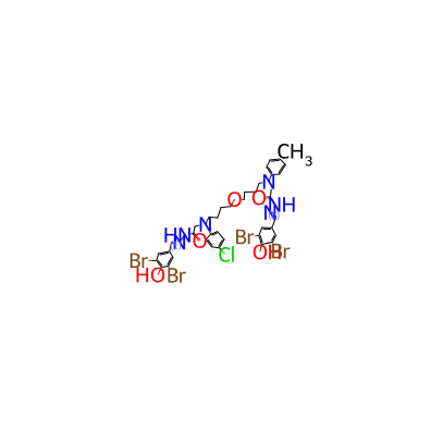 Cc1ccc(N(CCCCOCCCCN(CC(=O)N/N=C/c2cc(Br)c(O)c(Br)c2)c2ccc(Cl)cc2)CC(=O)N/N=C/c2cc(Br)c(O)c(Br)c2)cc1